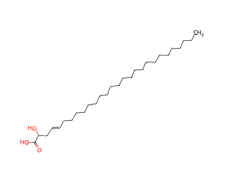 CCCCCCCCCCCCCCCCCCCCCCC/C=C/CC(O)C(=O)O